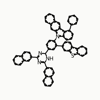 c1ccc(-c2cccc3c2c2cc4ccccc4cc2n3-c2ccc(C3N=C(c4ccc5ccccc5c4)N=C(c4ccc5ccccc5c4)N3)cc2-c2ccc3c(c2)sc2ccccc23)cc1